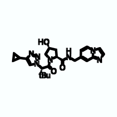 CC(C)(C)[C@@H](C(=O)N1C[C@H](O)C[C@H]1C(=O)NCc1ccn2ccnc2c1)n1cc(C2CC2)nn1